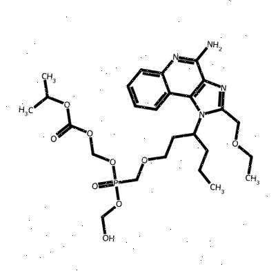 CCCC(CCOCP(=O)(OCO)OCOC(=O)OC(C)C)n1c(COCC)nc2c(N)nc3ccccc3c21